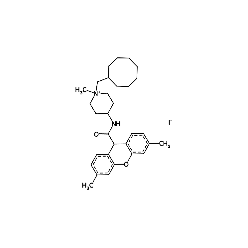 Cc1ccc2c(c1)Oc1cc(C)ccc1C2C(=O)NC1CC[N+](C)(CC2CCCCCCC2)CC1.[I-]